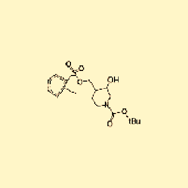 Cc1ccccc1S(=O)(=O)OCC1CCN(C(=O)OC(C)(C)C)CC1O